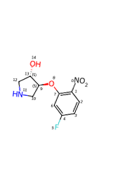 O=[N+]([O-])c1ccc(F)cc1O[C@H]1CNC[C@@H]1O